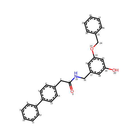 O=C(Cc1ccc(-c2ccccc2)cc1)NCc1cc(O)cc(OCc2ccccc2)c1